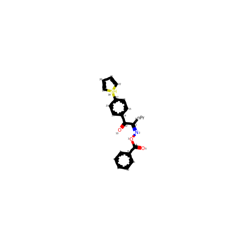 CCCC(=NOC(=O)c1ccccc1)C(=O)c1ccc([SH]2C=CC=C2)cc1